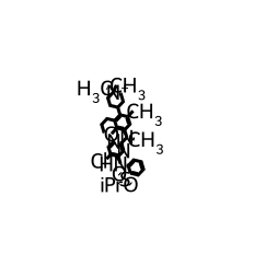 Cc1cc(N(C)c2ncc(Cl)c(Nc3ccccc3S(=O)(=O)C(C)C)n2)c2c(c1C1CC[N+](C)(C)CC1)CCCO2